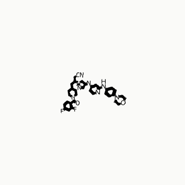 N#CCC(CC1CCN(C(=O)c2ccc(F)cc2F)CC1)N1CC(=Nc2ccnc(Nc3ccc(N4CCOCC4)cc3)c2)C=N1